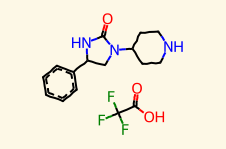 O=C(O)C(F)(F)F.O=C1NC(c2ccccc2)CN1C1CCNCC1